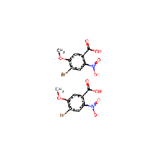 COc1cc(C(=O)O)c([N+](=O)[O-])cc1Br.COc1cc(C(=O)O)c([N+](=O)[O-])cc1Br